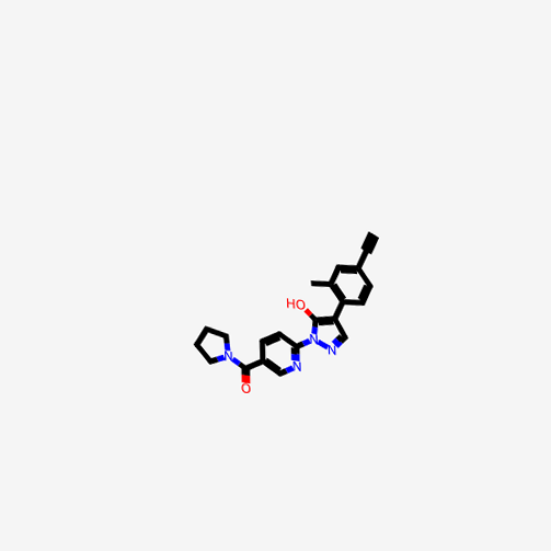 C#Cc1ccc(-c2cnn(-c3ccc(C(=O)N4CCCC4)cn3)c2O)c(C)c1